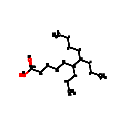 CCCCC(CCC)C(CCC)CCCCC(=O)O